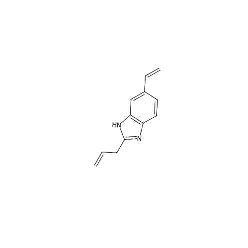 C=CCc1nc2ccc(C=C)cc2[nH]1